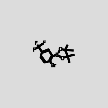 CC1(C)OB(c2cc(C(F)(F)F)ccc2Br)OC1(C)C